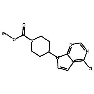 CC(C)OC(=O)N1CCC(n2ncc3c(Cl)ncnc32)CC1